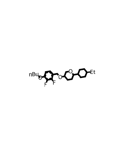 CCCCOc1ccc(COC2CCC(C3CCC(CC)CC3)OC2)c(F)c1F